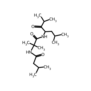 CC(C)CC(=O)NC(C)(C)C(=O)NC(CC(C)C)C(=O)C(C)C